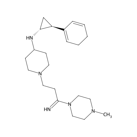 CN1CCN(C(=N)CCN2CCC(N[C@@H]3C[C@H]3C3=CCCC=C3)CC2)CC1